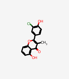 Cc1c(-c2ccc(O)c(Cl)c2)oc2cccc(O)c2c1=O